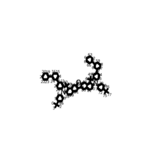 CC(C)(C)c1ccc(N(c2ccc(-c3cccc(-c4ccccc4)c3)cc2)c2ccc3cc4c(cc3c2C(C)(C)C)oc2cc3c(C(C)(C)C)c(N(c5ccc(-c6cccc(-c7ccccc7)c6)cc5)c5ccc(C(C)(C)C)cc5)ccc3cc24)cc1